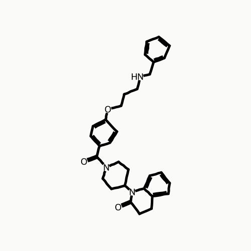 O=C(c1ccc(OCCCNCc2ccccc2)cc1)N1CCC(N2C(=O)CCc3ccccc32)CC1